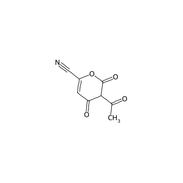 CC(=O)C1C(=O)C=C(C#N)OC1=O